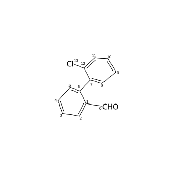 O=Cc1ccccc1-c1ccccc1Cl